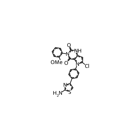 COc1ccccc1-n1c(=O)[nH]c2cc(Cl)n(-c3ccc(-c4csc(N)n4)cc3)c2c1=O